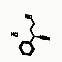 CNC(CCO)c1ccccc1.Cl